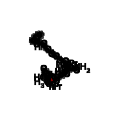 CCCC1O[C@@H]2C[C@H]3[C@@H]4CCC5=CC(=O)C=C[C@]5(C)[C@H]4[C@@H](O)C[C@]3(C)[C@]2(C(=O)COC(=O)OCc2ccc(NC(=O)[C@H](CCCNC(N)=O)NC(=O)[C@@H](NC(=O)CCOCCOCCOCCOCCNC(=O)CCC(=O)N3Cc4ccccc4C#Cc4ccccc43)C(C)C)cc2)O1